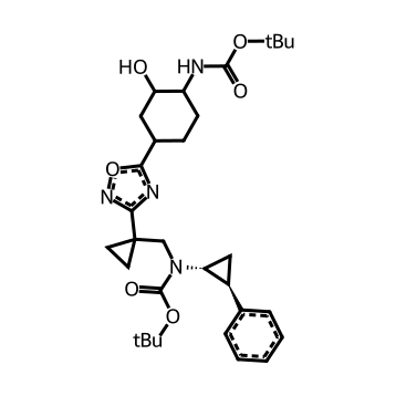 CC(C)(C)OC(=O)NC1CCC(c2nc(C3(CN(C(=O)OC(C)(C)C)[C@@H]4C[C@H]4c4ccccc4)CC3)no2)CC1O